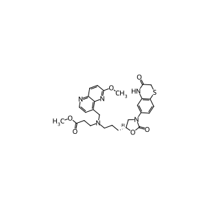 COC(=O)CCN(CCC[C@@H]1CN(c2ccc3c(c2)NC(=O)CS3)C(=O)O1)Cc1ccnc2ccc(OC)nc12